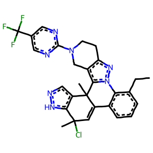 CCc1cccc2c1-n1nc3c(c1C1(C)C2=CC(C)(Cl)c2[nH]ncc21)CN(c1ncc(C(F)(F)F)cn1)CC3